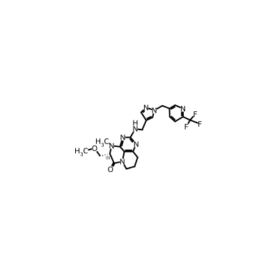 COC[C@H]1C(=O)N2CCCc3nc(NCc4cnn(Cc5ccc(C(F)(F)F)nc5)c4)nc(c32)N1C